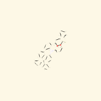 c1ccc(N(c2ccc3c(c2)C2(c4ccccc4-c4ccccc42)c2ccccc2-3)c2ccccc2-c2ccc3sc4ccccc4c3c2)cc1